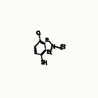 CCN(CC)CC.Sc1ccc(Cl)cc1